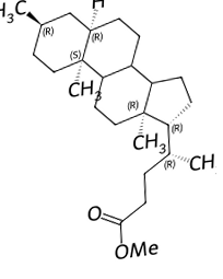 COC(=O)CC[C@@H](C)[C@H]1CCC2C3CC[C@@H]4C[C@H](C)CC[C@]4(C)C3CC[C@@]21C